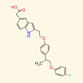 CC(COc1ccc(F)cc1)c1ccc(OCCc2cc3cc(CC(=O)O)ccc3[nH]2)cc1